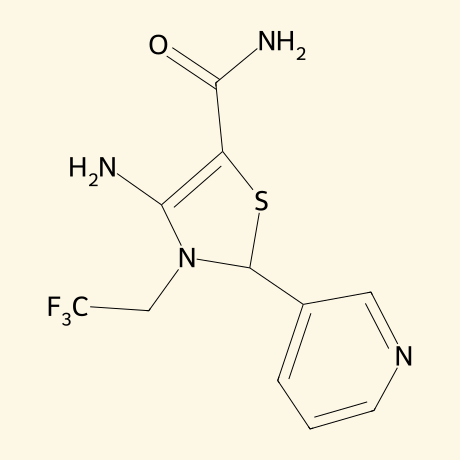 NC(=O)C1=C(N)N(CC(F)(F)F)C(c2cccnc2)S1